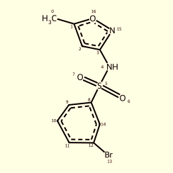 Cc1cc(NS(=O)(=O)c2cccc(Br)c2)no1